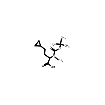 CN(C(=O)OC(C)(C)C)C(CCC1CC1)C(=O)O